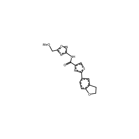 COCc1nc(NC(=O)c2csc(-c3ccc4c(c3)CCO4)n2)no1